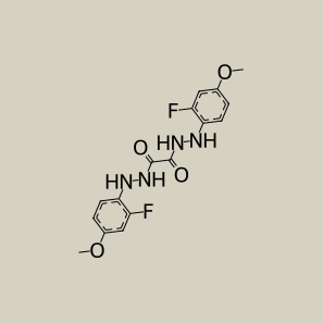 COc1ccc(NNC(=O)C(=O)NNc2ccc(OC)cc2F)c(F)c1